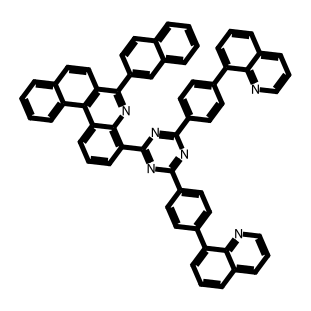 c1ccc2cc(-c3nc4c(-c5nc(-c6ccc(-c7cccc8cccnc78)cc6)nc(-c6ccc(-c7cccc8cccnc78)cc6)n5)cccc4c4c3ccc3ccccc34)ccc2c1